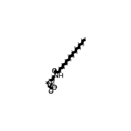 CCCCCCCC/C=C/CCCCCCCC(=O)NCCC[N+](C)(C)CC(=O)[O-]